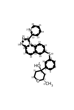 C[C@H]1C[C@@](O)(c2cccc(Sc3ccc4c(ccc5nnc(-c6ccccn6)n54)c3)c2)CCO1